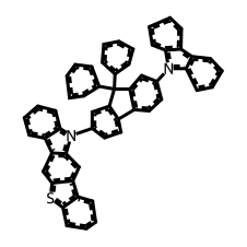 c1ccc(C2(c3ccccc3)c3cc(-n4c5ccccc5c5ccccc54)ccc3-c3ccc(-n4c5ccccc5c5cc6sc7ccccc7c6cc54)cc32)cc1